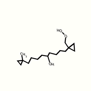 CC1(CCCCC(O)CCCCC2(COO)CC2)CC1